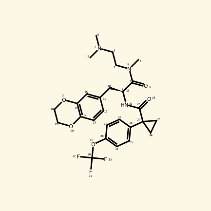 CN(C)CCN(C)C(=O)[C@H](Cc1ccc2c(c1)OCCO2)NC(=O)C1(c2ccc(OC(F)(F)F)cc2)CC1